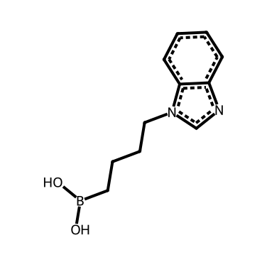 OB(O)CCCCn1cnc2ccccc21